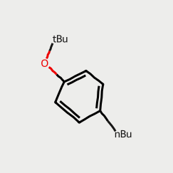 CCCCc1ccc(OC(C)(C)C)cc1